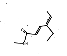 CC=C(C=CC(=O)NC)CC